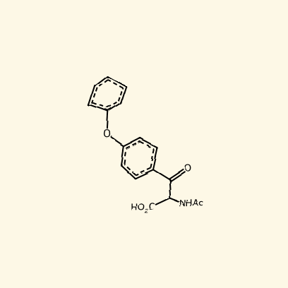 CC(=O)NC(C(=O)O)C(=O)c1ccc(Oc2ccccc2)cc1